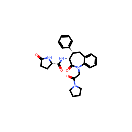 O=C1CC[C@@H](C(=O)N[C@H]2C(=O)N(CC(=O)N3CCCC3)c3ccccc3C[C@H]2c2ccccc2)N1